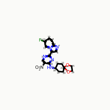 O=[N+]([O-])c1cnc(-c2cnc3ccc(F)cn23)nc1NC1CCC2(CC1)OCCO2